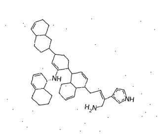 NC/C(=C\CC1C=CC(C2CCC(C3CCC4C=CCCC4C3)C=C2N[C@H]2C=CC=C3CCCCC32)C2CCC=CC12)c1cc[nH]c1